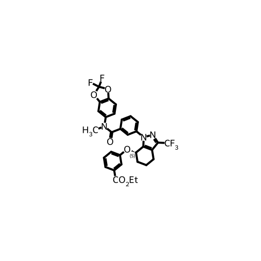 CCOC(=O)c1cccc(O[C@H]2CCCc3c(C(F)(F)F)nn(-c4cccc(C(=O)N(C)c5ccc6c(c5)OC(F)(F)O6)c4)c32)c1